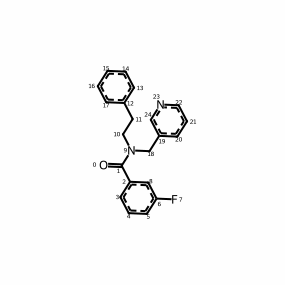 O=C(c1cccc(F)c1)N(CCc1ccccc1)Cc1cccnc1